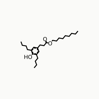 CCCCCCCCCOC(=O)CCc1cc(CCCC)c(O)c(CCCC)c1